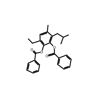 CCc1cc(C)c(CC(C)C)c(OC(=O)c2ccccc2)c1OC(=O)c1ccccc1